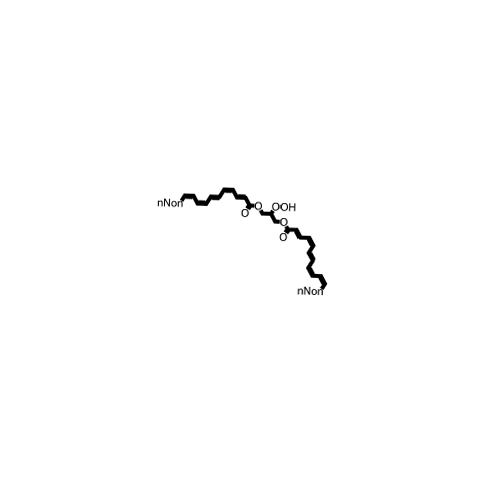 CCCCCCCCC\C=C/C=C\C=C\C=C/C=C/C(=O)OCC(COC(=O)/C=C/C=C\C=C\C=C/C=C\CCCCCCCCC)OO